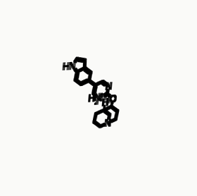 C=C(/N=C\C(=C/N)c1ccc2[nH]ccc2c1)O[C@H]1CCN2CCC[C@@H]1C2